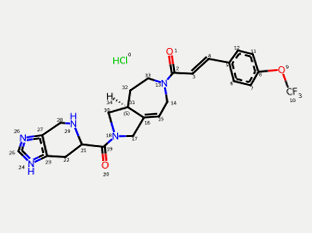 Cl.O=C(C=Cc1ccc(OC(F)(F)F)cc1)N1CC=C2CN(C(=O)C3Cc4[nH]cnc4CN3)C[C@H]2CC1